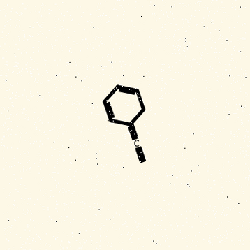 C=C=C1[C]=CC=CC1